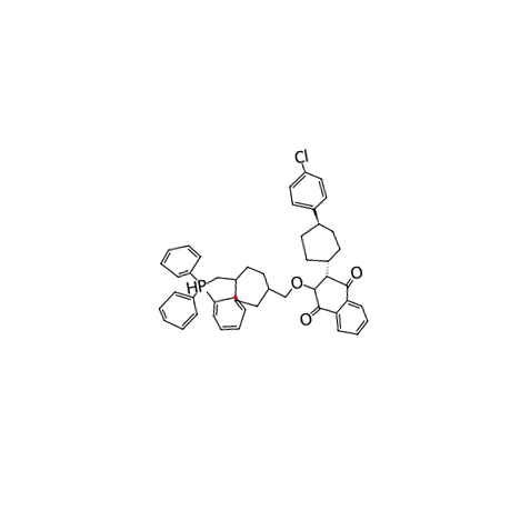 O=C1c2ccccc2C(=O)C([C@H]2CC[C@H](c3ccc(Cl)cc3)CC2)C1OCC1CCC(C[PH](c2ccccc2)(c2ccccc2)c2ccccc2)CC1